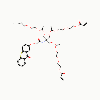 C=CC(=O)OCCOCCOC(C)OCC(COC(C)OCCOCCOC(C)=O)(COC(C)OCCOCCOC(=O)C=C)NC(=O)COc1ccc2sc3ccccc3c(=O)c2c1